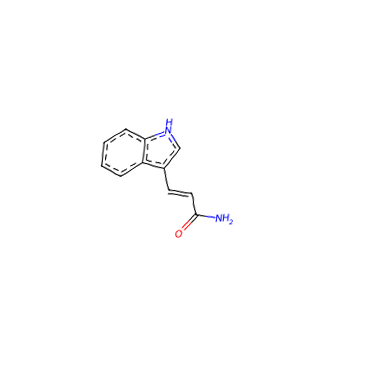 NC(=O)/C=C/c1c[nH]c2ccccc12